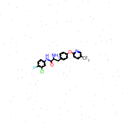 NC(Cc1ccc(Oc2ccc(C(F)(F)F)cn2)cc1)C(=O)Nc1ccc(F)c(Cl)c1